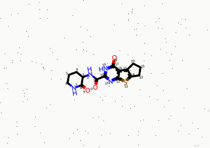 O=C(NC1CCCNC1=O)c1nc2sc3c(c2c(=O)[nH]1)CCC3